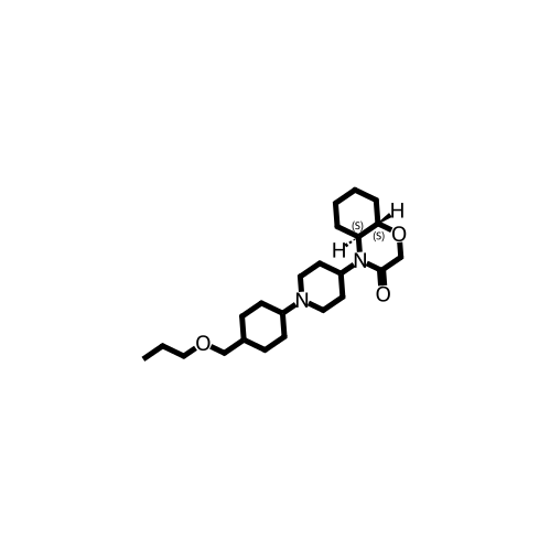 CCCOCC1CCC(N2CCC(N3C(=O)CO[C@H]4CCCC[C@@H]43)CC2)CC1